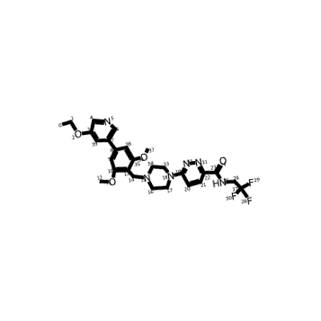 CCOc1cncc(-c2cc(OC)c(CN3CCN(c4ccc(C(=O)NCC(F)(F)F)nn4)CC3)c(OC)c2)c1